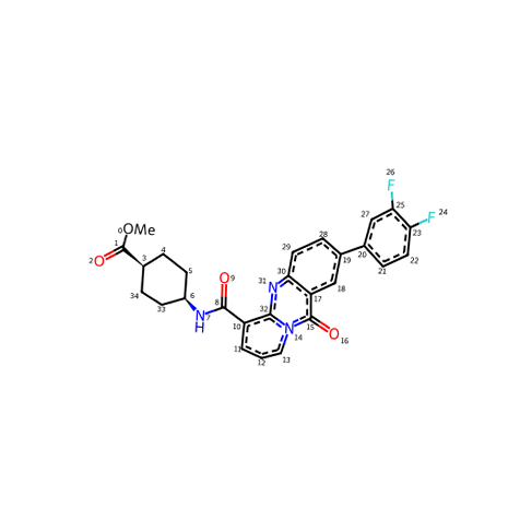 COC(=O)[C@H]1CC[C@@H](NC(=O)c2cccn3c(=O)c4cc(-c5ccc(F)c(F)c5)ccc4nc23)CC1